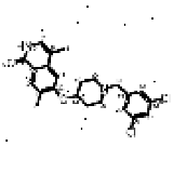 Cc1cc2c(=O)[nH]cc(C)c2cc1OC1CCN(Cc2cc(Cl)cc(Cl)c2)CC1